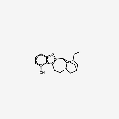 CCC1CC2CC3c4oc5cccc(O)c5c4CCN(C2)C13